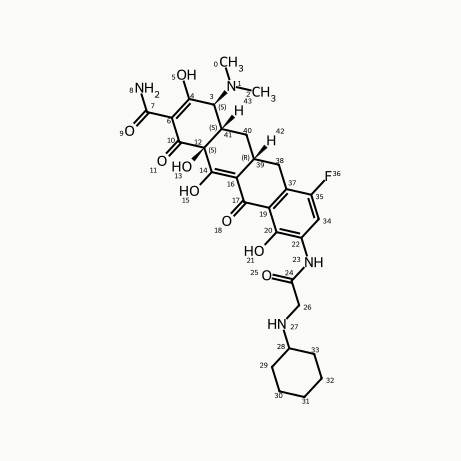 CN(C)[C@@H]1C(O)=C(C(N)=O)C(=O)[C@@]2(O)C(O)=C3C(=O)c4c(O)c(NC(=O)CNC5CCCCC5)cc(F)c4C[C@H]3C[C@@H]12